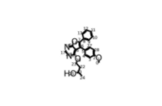 COc1ccc(-c2c(-c3ccccc3)oc3ncnc(OCCC(C)O)c23)cc1